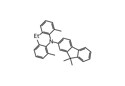 CCc1cccc(C)c1N(c1ccc2c(c1)C(C)(C)c1ccccc1-2)c1c(C)cccc1C